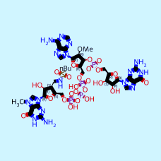 CCCCS(=O)(=O)NC[C@H]1[C@@H](O)[C@H](n2c[n+](C)c3c(=O)[nH]c(N)nc32)O[C@@H]1COP(=O)(O)OP(=O)(O)OP(=O)(O)OC[C@H]1O[C@@H](n2cnc3c(N)ncnc32)[C@H](OC)[C@@H]1OP(=O)([O-])OC[C@H]1O[C@@H](n2cnc3c(=O)[nH]c(N)nc32)[C@H](O)[C@@H]1O